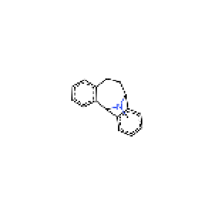 CN1C2CCc3ccccc3C1c1ccccc12